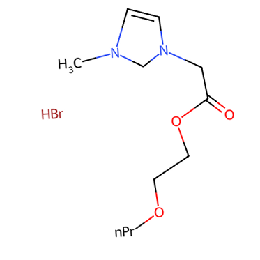 Br.CCCOCCOC(=O)CN1C=CN(C)C1